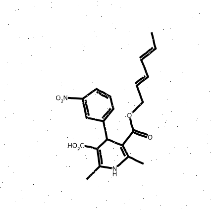 CC=CC=CCOC(=O)C1=C(C)NC(C)=C(C(=O)O)C1c1cccc([N+](=O)[O-])c1